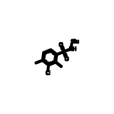 Cc1ccc(S(=O)(=O)NC(C)(C)C)c(C)c1Cl